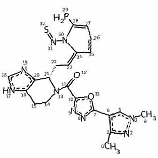 Cc1nn(C)cc1-c1nnc(C(=O)N2CCc3[nH]cnc3[C@@H]2C/C=C2/C=CC=C(P)N2N=S)o1